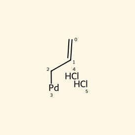 C=C[CH2][Pd].Cl.Cl